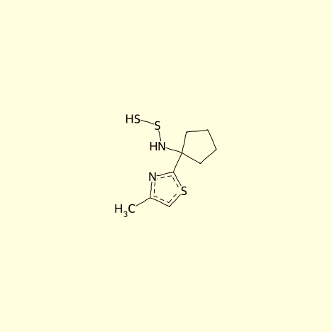 Cc1csc(C2(NSS)CCCC2)n1